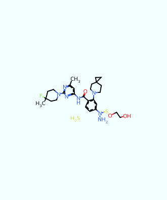 Cc1cc(NC(=O)c2ccc(N(N)SOCCO)cc2N2CCC3(CC2)CC3)nc(N2CCC(C)(F)CC2)n1.S